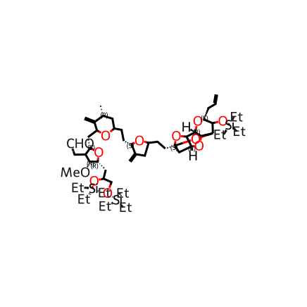 C=CC[C@@H]1O[C@@H]2C3O[C@@H]4C[C@](CCC5CC(=C)[C@H](CCC6C[C@@H](C)C(=C)C(C[C@@H]7O[C@H](CC(CO[Si](CC)(CC)CC)O[Si](CC)(CC)CC)[C@H](OC)C7CC=O)O6)O5)(OC3C1O[Si](CC)(CC)CC)OC24